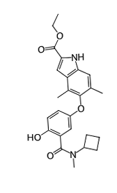 CCOC(=O)c1cc2c(C)c(Oc3ccc(O)c(C(=O)N(C)C4CCC4)c3)c(C)cc2[nH]1